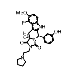 COc1ccc2[nH]c3c(c2c1F)C[C@@]1(C)C(=O)N(CCN2CCCC2)C(=O)N1[C@@H]3c1cccc(O)c1